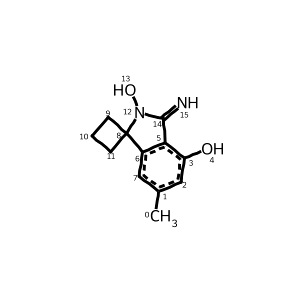 Cc1cc(O)c2c(c1)C1(CCC1)N(O)C2=N